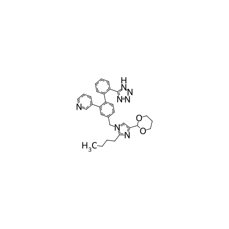 CCCCc1nc(C2OCCCO2)cn1Cc1ccc(-c2ccccc2-c2nnn[nH]2)c(-c2cccnc2)c1